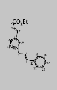 CCOC(=O)/C=C/c1cnn(C/C=C/c2ccccc2)c1